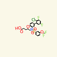 O=C(O)CCC1CN(S(=O)(=O)c2cccc(OC(F)F)c2)c2cc(-c3cc(F)cc(F)c3Cl)ccc2O1